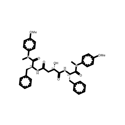 COc1ccc(N(C)C(=O)[C@H](Cc2ccccc2)NC(=O)C[C@H](O)C(=O)N[C@@H](Cc2ccccc2)C(=O)N(C)c2ccc(OC)cc2)cc1